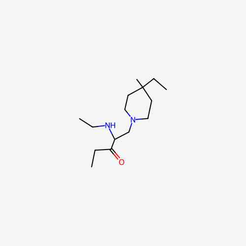 CCNC(CN1CCC(C)(CC)CC1)C(=O)CC